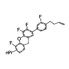 C=CCCc1ccc(-c2cc3c(c(F)c2F)Oc2c(ccc(CCC)c2F)C3)cc1F